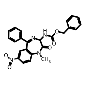 CN1C(=O)C(NC(=O)OCc2ccccc2)N=C(c2ccccc2)c2cc([N+](=O)[O-])ccc21